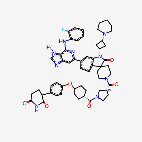 CC(C)n1cnc2cc(-c3ccc4c(c3)N([C@H]3C[C@@H](N5CCCCC5)C3)C(=O)C43CCN(C(=O)[C@@H]4CCN(C(=O)[C@H]5CC[C@H](Oc6ccc(C7CCC(=O)NC7=O)cc6)CC5)C4)CC3)nc(Nc3ccccc3F)c21